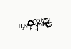 Nc1ccc(F)c(NC(=O)Nc2ncnc3sccc23)c1F